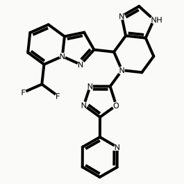 FC(F)c1cccc2cc(C3c4nc[nH]c4CCN3c3nnc(-c4ccccn4)o3)nn12